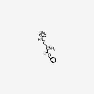 CC(C)(C)OC(=O)NCCCC[C@H](N)C(=O)OCc1ccccc1.Cl